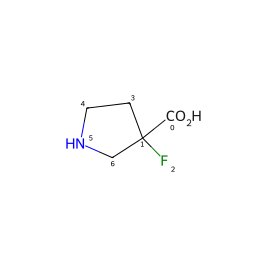 O=C(O)C1(F)CCNC1